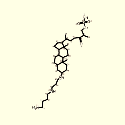 CC(COS(=O)(=O)O)C(=O)CCC(C)C1CCC2C3CCC4CC(NCCCNCCCCN)CCC4(C)C3CCC12C